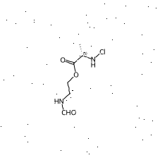 C[C@H](NCl)C(=O)OCCNC=O